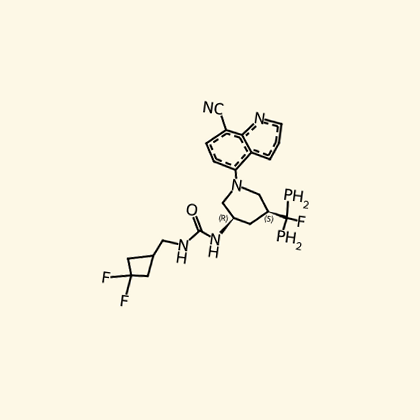 N#Cc1ccc(N2C[C@H](NC(=O)NCC3CC(F)(F)C3)C[C@H](C(F)(P)P)C2)c2cccnc12